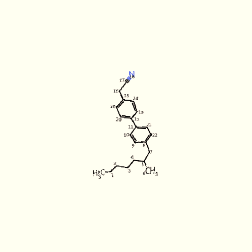 CCCCCC(C)Cc1ccc(-c2ccc(CC#N)cc2)cc1